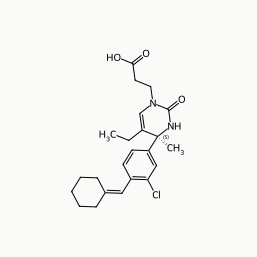 CCC1=CN(CCC(=O)O)C(=O)N[C@@]1(C)c1ccc(C=C2CCCCC2)c(Cl)c1